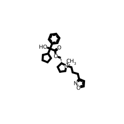 C[N+]1(CCCc2ccon2)CCC[C@@H]1COC(=O)C(O)(c1ccccc1)C1CCCC1